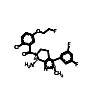 Cn1nc2c(c1-c1cc(F)cc(F)c1)CCN(C(=O)c1cc(OCCF)ccc1Cl)[C@H]2N